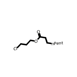 CCCCCCCC(=O)OCCCCl